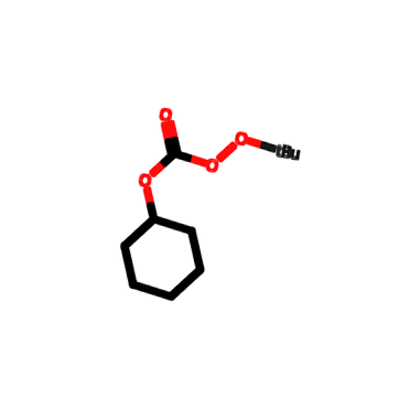 CC(C)(C)OOC(=O)OC1CCCCC1